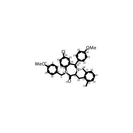 COc1ccc(CN2C(=O)C(Cc3c(C)cccc3C)N=C(c3ccc(OC)cc3)c3cc(Cl)ccc32)cc1